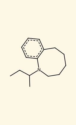 CCC(C)N1CCCCCc2ccccc21